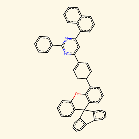 C1=CC(c2cccc3c2Oc2ccccc2C32c3ccccc3-c3ccccc32)CC=C1c1cc(-c2cccc3ccccc23)nc(-c2ccccc2)n1